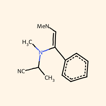 CN/C=C(/c1ccccc1)N(C)C(C)C#N